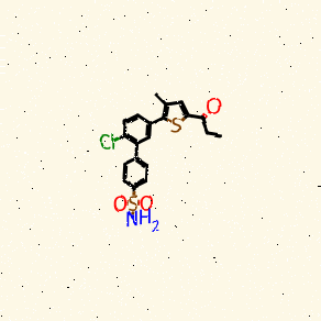 CCC(=O)c1cc(C)c(-c2ccc(Cl)c(-c3ccc(S(N)(=O)=O)cc3)c2)s1